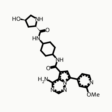 COc1cc(-c2cc(C(=O)NC3CCC(NC(=O)[C@@H]4C[C@@H](O)CN4)CC3)c3c(N)ncnn23)ccn1